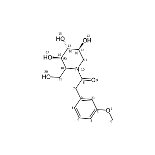 COc1cccc(CC(=O)N2C[C@H](O)[C@@H](O)[C@H](O)C2CO)c1